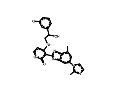 Cc1cc(-n2ccnc2C)cc2[nH]c(-c3c(NCC(O)c4cccc(Cl)c4)cc[nH]c3=O)nc12